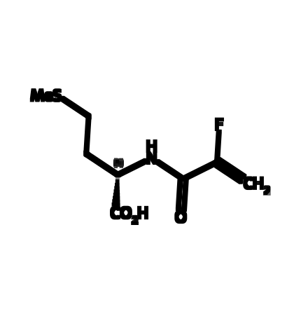 C=C(F)C(=O)N[C@@H](CCSC)C(=O)O